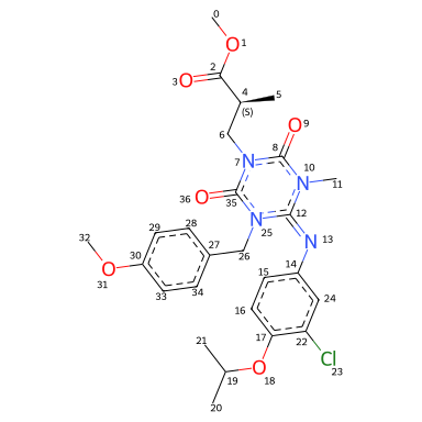 COC(=O)[C@@H](C)Cn1c(=O)n(C)c(=Nc2ccc(OC(C)C)c(Cl)c2)n(Cc2ccc(OC)cc2)c1=O